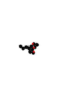 c1ccc(-c2cccc(-c3ccc4sc5c(-c6ccccc6-c6ccccc6-c6cnc7c8ccccc8c8ccccc8c7n6)cc(-c6cccc(-c7ccccc7)c6)cc5c4c3)c2)cc1